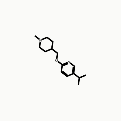 CC(C)c1ccc(OCC2CCN(C)CC2)nc1